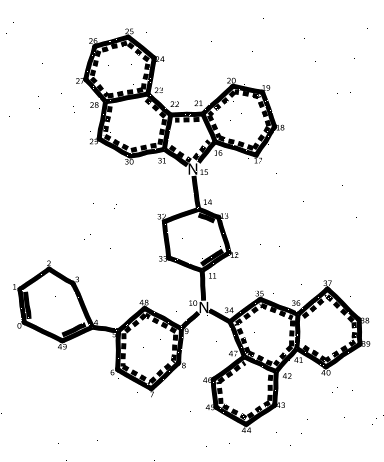 C1=CCCC(c2cccc(N(C3=CC=C(n4c5ccccc5c5c6ccccc6ccc54)CC3)c3cc4ccccc4c4ccccc34)c2)=C1